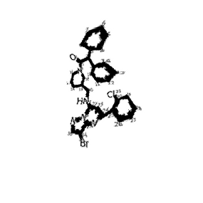 O=C(C(c1ccccc1)c1ccccc1)N1CCCC(CNc2cc(-c3ccccc3Cl)nc3c(Br)cnn23)C1